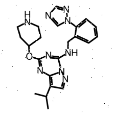 CC(C)c1cnn2c(NCc3ccccc3-n3cncn3)nc(OC3CCNCC3)nc12